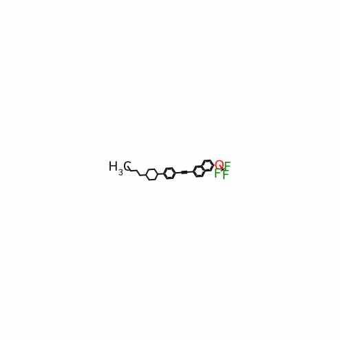 CCCCC1CCC(c2ccc(C#Cc3ccc4cc(OC(F)(F)F)ccc4c3)cc2)CC1